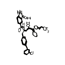 O=C(N[C@H](Cc1ccc(-c2cccc(Cl)c2)cc1)C[C@@H](O)C(=O)OCCC(F)(F)F)c1ccc2nnn(O)c2c1